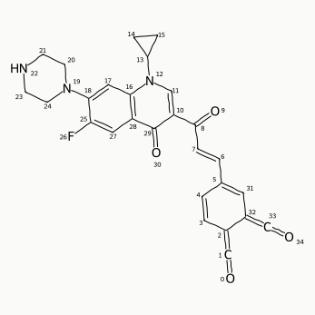 O=C=c1ccc(/C=C/C(=O)c2cn(C3CC3)c3cc(N4CCNCC4)c(F)cc3c2=O)cc1=C=O